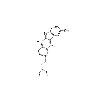 CCN(CC)CC[N+]1=CCc2c(C)c3c(c(C)c2=C1)-c1cc(O)ccc1N=3